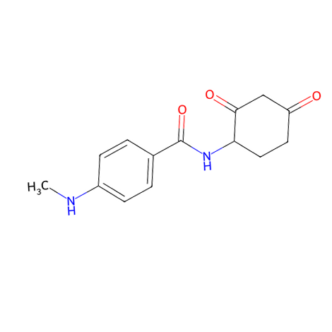 CNc1ccc(C(=O)NC2CCC(=O)CC2=O)cc1